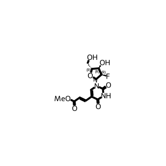 COC(=O)C=Cc1cn([C@@H]2O[C@H](CO)[C@@H](O)[C@H]2F)c(=O)[nH]c1=O